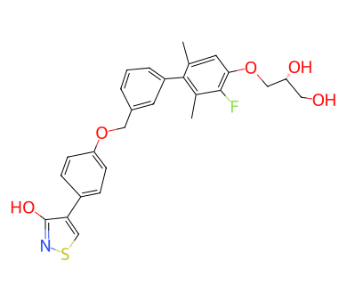 Cc1cc(OC[C@H](O)CO)c(F)c(C)c1-c1cccc(COc2ccc(-c3csnc3O)cc2)c1